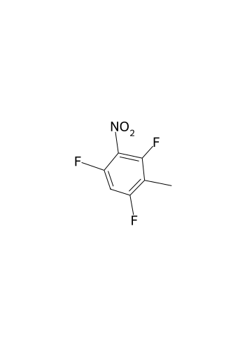 Cc1c(F)cc(F)c([N+](=O)[O-])c1F